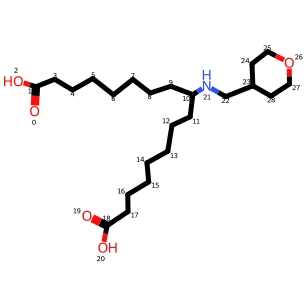 O=C(O)CCCCCCCC(CCCCCCCC(=O)O)NCC1CCOCC1